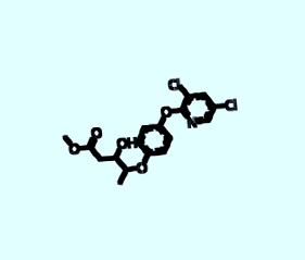 COC(=O)CC(O)C(C)Oc1ccc(Oc2ncc(Cl)cc2Cl)cc1